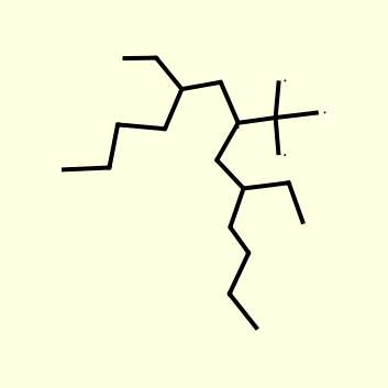 [CH2]C([CH2])([CH2])[C](CC(CC)CCCC)CC(CC)CCCC